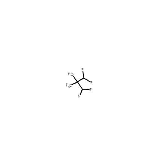 OC(C(F)F)(C(F)F)C(F)(F)F